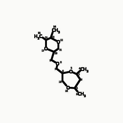 CC1CC(C)OC(COCC2COC(C)C(C)O2)CO1